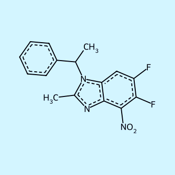 Cc1nc2c([N+](=O)[O-])c(F)c(F)cc2n1C(C)c1ccccc1